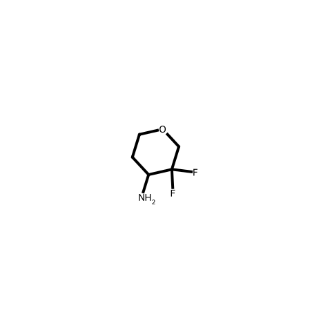 NC1CCOCC1(F)F